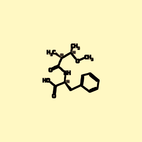 CO[C@@H](C)[C@@H](C)C(=O)N[C@@H](Cc1ccccc1)C(=O)O